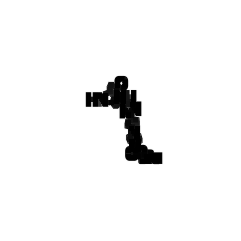 CC(C)(C)OC(=O)N1CCN(c2ccc(-c3nccc(-c4cc5c([nH]4)C4(CCC(=O)C4)CNC5)n3)cc2)CC1